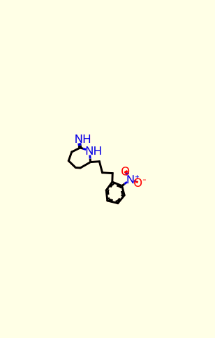 N=C1CCCCC(CCCc2ccccc2[N+](=O)[O-])N1